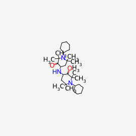 CC1(C)CC(NC2CC(C)(C)N(C3CCCCC3)C(C)(C)C2=O)C(=O)C(C)(C)N1C1CCCCC1